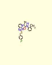 Cc1ccccc1NC(=O)C(C1CC1)n1cccc2nc(SCc3ccc(F)cc3)nc1-2